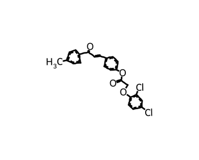 Cc1ccc(C(=O)C=Cc2ccc(OC(=O)COc3ccc(Cl)cc3Cl)cc2)cc1